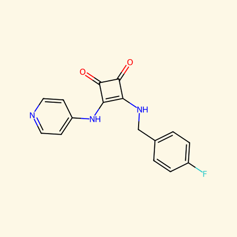 O=c1c(NCc2ccc(F)cc2)c(Nc2ccncc2)c1=O